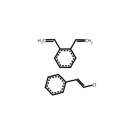 C=Cc1ccccc1C=C.ClC=Cc1ccccc1